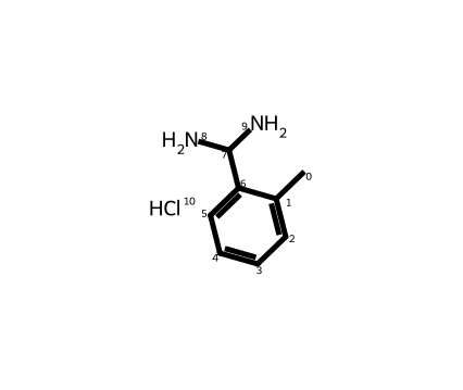 Cc1ccccc1C(N)N.Cl